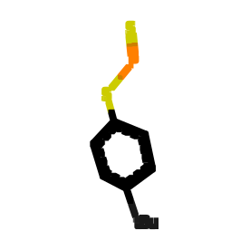 CC(C)(C)c1ccc(SP=S)cc1